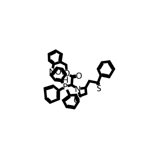 O=C(OCc1ccccc1[N+](=O)[O-])C(N1C(=O)CC1CC(=S)c1ccccc1)[PH](c1ccccc1)(c1ccccc1)c1ccccc1